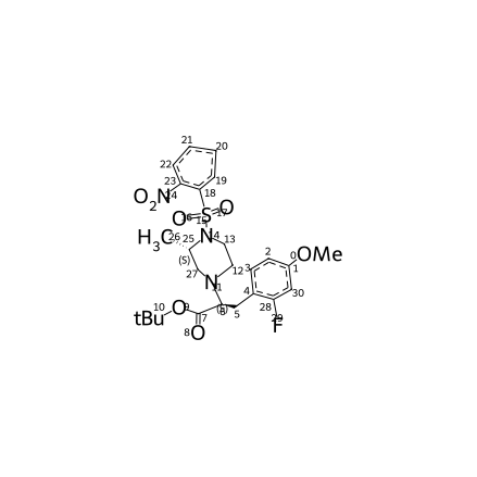 COc1ccc(C[C@@H](C(=O)OC(C)(C)C)N2CCN(S(=O)(=O)c3ccccc3[N+](=O)[O-])[C@@H](C)C2)c(F)c1